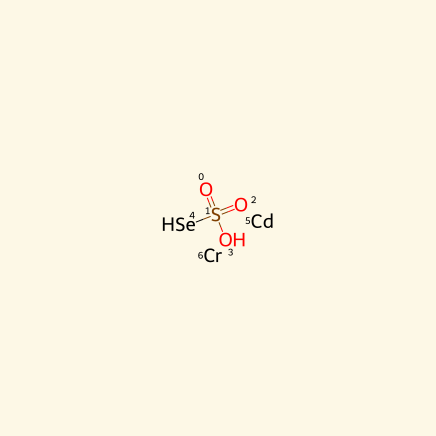 O=S(=O)(O)[SeH].[Cd].[Cr]